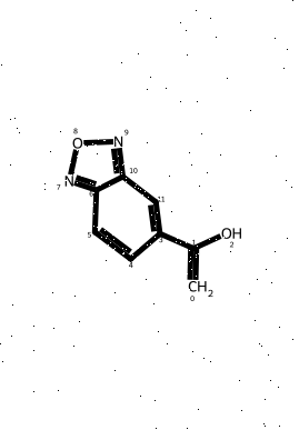 C=C(O)c1ccc2nonc2c1